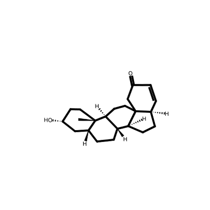 C[C@]12CC[C@@H](O)C[C@H]1CC[C@H]1[C@@H]3CC[C@@H]4C=CC(=O)CC43CC[C@@H]12